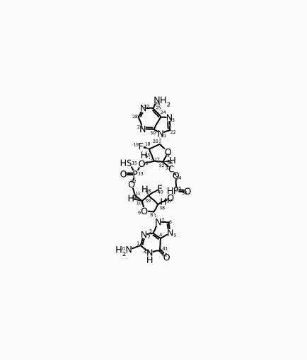 Nc1nc2c(ncn2[C@@H]2O[C@@H]3COP(=O)(S)O[C@H]4[C@@H](F)[C@H](n5cnc6c(N)ncnc65)O[C@@H]4CO[PH](=O)O[C@@H]2[C@@H]3F)c(=O)[nH]1